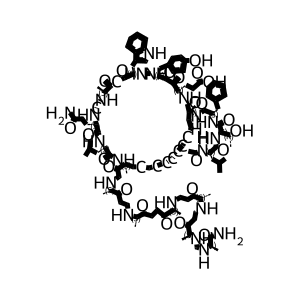 CC(=O)N[C@@H](CC(C)C)C(=O)N[C@H](C(=O)N[C@@H](Cc1ccccc1)C(=O)N[C@]1(C)CCCCCCCCCCC[C@@](C)(C(=O)CN[C@@H](C)C(=O)CCN[C@@H](C)C(=O)CCC(=O)[C@H](C)NCCC(=O)[C@H](C)NCCC(=O)[C@H](C)NCN[C@H](C)C(N)=O)NC(=O)[C@H](CC(C)C)NC(=O)[C@H](CCC(N)=O)NCN[C@@H](C)C(=O)CC(=O)[C@H](Cc2c[nH]c3ccccc23)NN[C@@H](Cc2ccc(O)cc2)C(=O)C(=O)[C@H](CCC(=O)O)NC1=O)[C@@H](C)O